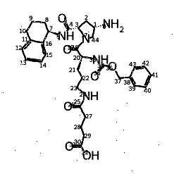 N[C@H]1C[C@@H](C(=O)N[C@@H]2CCCc3ccccc32)N(C(=O)[C@H](CCCNC(=O)CCCC(=O)O)NC(=O)OCc2ccccc2)C1